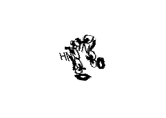 CCC(NC(=O)C(C)SSC(C)C(=O)NC(CC)OC(C)Oc1ccccc1)OC(C)Oc1ccccc1